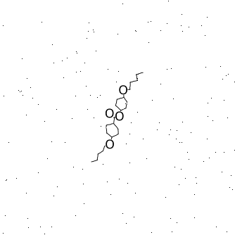 CCCCCOC1CCC(OC(=O)C2CCC(OCCCCC)CC2)CC1